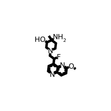 COc1ccc2nccc(C(F)CN3CCC(C)(N)C(O)C3)c2n1